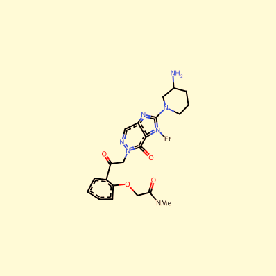 CCn1c(N2CCCC(N)C2)nc2cnn(CC(=O)c3ccccc3OCC(=O)NC)c(=O)c21